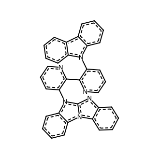 c1cnc(-c2ncccc2-n2c3ccccc3n3c4ccccc4nc23)c(-n2c3ccccc3c3ccccc32)c1